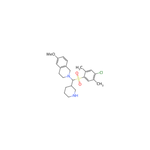 COc1ccc2c(c1)CCN(C(C1CCCNC1)S(=O)(=O)c1cc(C)c(Cl)cc1C)C2